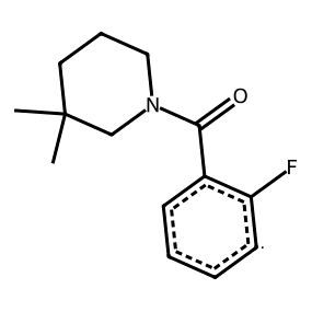 CC1(C)CCCN(C(=O)c2ccc[c]c2F)C1